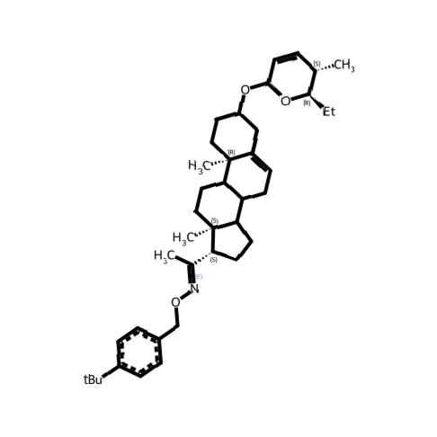 CC[C@H]1OC(OC2CC[C@@]3(C)C(=CCC4C3CC[C@@]3(C)C4CC[C@@H]3/C(C)=N/OCc3ccc(C(C)(C)C)cc3)C2)C=C[C@@H]1C